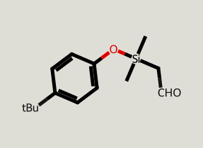 CC(C)(C)c1ccc(O[Si](C)(C)CC=O)cc1